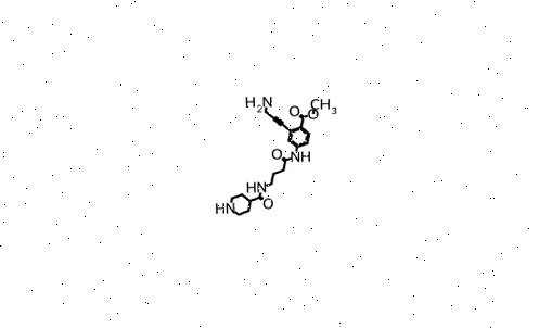 COC(=O)c1ccc(NC(=O)CCCNC(=O)C2CCNCC2)cc1C#CCN